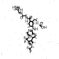 CCc1cc(Nc2nccn3c(-c4cn(CC(F)F)nc4C(F)(F)F)cnc23)ccc1C(=O)NCC(=O)NCC1CNC1.O=CO